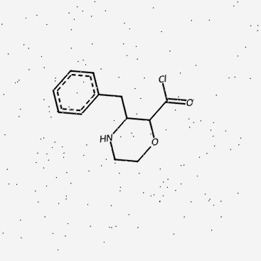 O=C(Cl)C1OCCNC1Cc1ccccc1